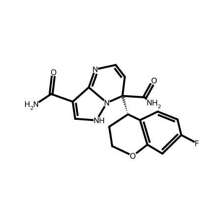 NC(=O)C1=CNN2C1=NC=CC2(C(N)=O)[C@H]1CCOc2cc(F)ccc21